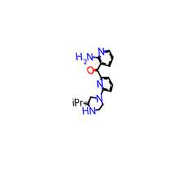 CC(C)[C@H]1CN(c2cccc(C(=O)c3cccnc3N)n2)CCN1